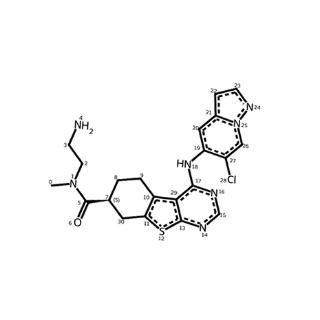 CN(CCN)C(=O)[C@H]1CCc2c(sc3ncnc(Nc4cc5ccnn5cc4Cl)c23)C1